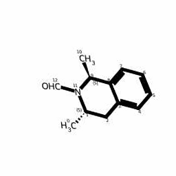 C[C@H]1Cc2ccccc2[C@H](C)N1C=O